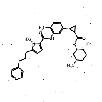 CC[C@H](C)n1c(CCCc2ccccc2)ccc1C(=O)Nc1cc([C@H]2C[C@H]2C(=O)O[C@@H]2C[C@H](C)CC[C@H]2C(C)C)ccc1C(F)(F)F